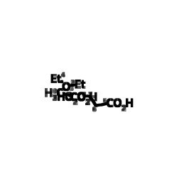 CC(=O)O.CCOCC.O=C(O)CCC(=O)O